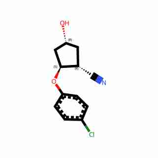 N#C[C@H]1C[C@@H](O)C[C@@H]1Oc1ccc(Cl)cc1